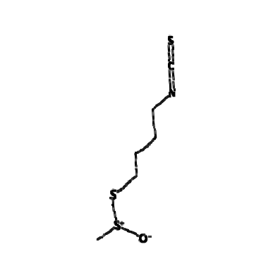 C[S+]([O-])SCCCCN=C=S